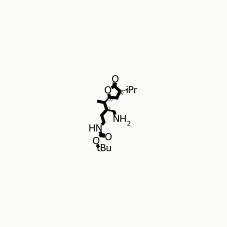 CC([C@@H](CN)CCNC(=O)OC(C)(C)C)[C@@H]1C[C@@H](C(C)C)C(=O)O1